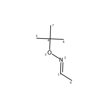 C/[C]=N/OC(C)(C)C